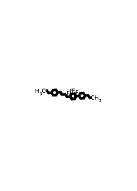 CCCC1CCC(/C=C/CCC2=CC=C(C3CCC(CCC)CC3)C(F)(F)C2(F)F)CC1